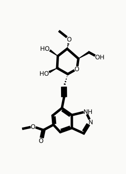 COC(=O)c1cc(C#C[C@H]2O[C@H](CO)[C@@H](OC)[C@H](O)[C@@H]2O)c2[nH]ncc2c1